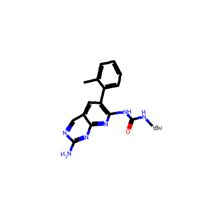 Cc1ccccc1-c1cc2cnc(N)nc2nc1NC(=O)NC(C)(C)C